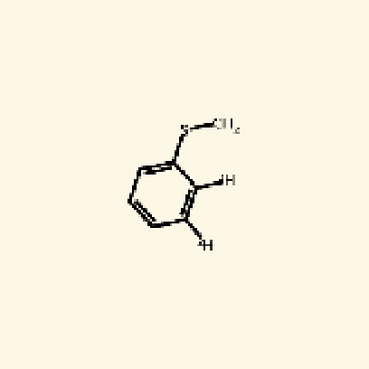 [2H]c1cccc(SC)c1[2H]